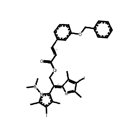 CB(C)n1c(C)c(I)c(C)c1/C(COC(=O)/C=C/c1cccc(OCc2ccccc2)c1)=C1\N=C(C)C(I)=C1C